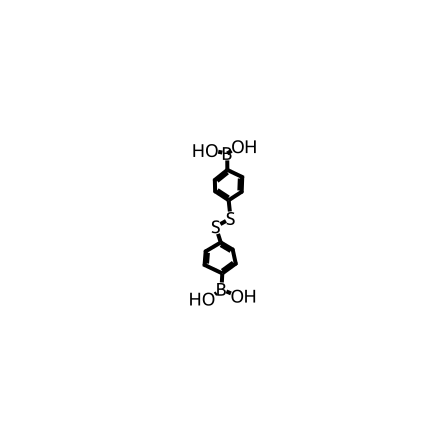 OB(O)c1ccc(SSc2ccc(B(O)O)cc2)cc1